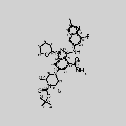 Cc1cn2cc(Nc3nn(C4CCCCO4)c4cc(N5C[C@H](C)N(C(=O)OC(C)(C)C)[C@@H](C)C5)cc(C(N)=O)c34)cc(F)c2n1